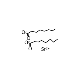 CCCCCCCC(=O)[O-].CCCCCCCC(=O)[O-].[Sr+2]